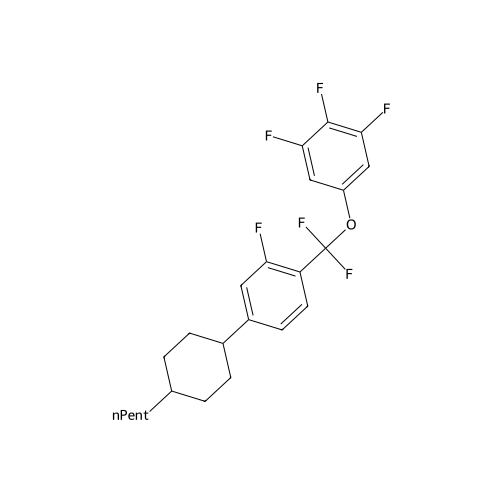 CCCCCC1CCC(c2ccc(C(F)(F)Oc3cc(F)c(F)c(F)c3)c(F)c2)CC1